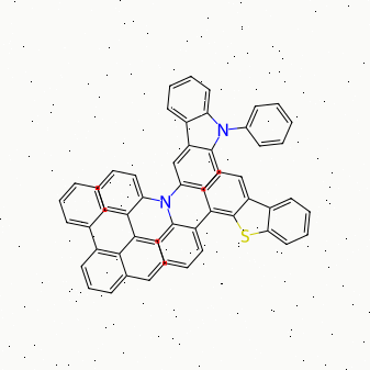 c1ccc(-c2cccc3cccc(-c4ccccc4N(c4ccc5c(c4)c4ccccc4n5-c4ccccc4)c4ccccc4-c4cccc5c4sc4ccccc45)c23)cc1